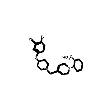 O=C(O)[C@H]1CCCC[C@@H]1N1CCC(CN2CCC(Oc3ccc(Cl)c(Cl)c3)CC2)CC1